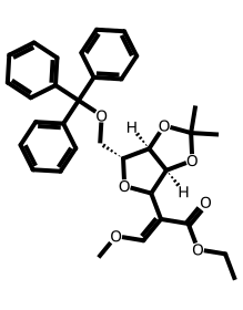 CCOC(=O)/C(=C/OC)C1O[C@H](COC(c2ccccc2)(c2ccccc2)c2ccccc2)[C@H]2OC(C)(C)O[C@@H]12